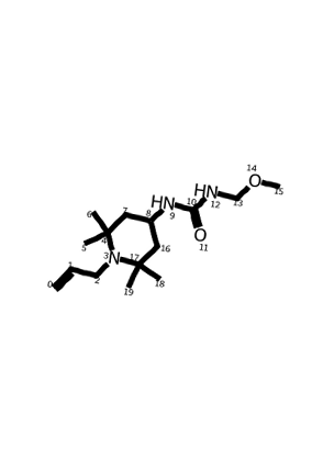 C=CCN1C(C)(C)CC(NC(=O)NCOC)CC1(C)C